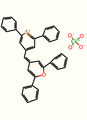 C(=C1C=C(c2ccccc2)OC(c2ccccc2)=C1)c1cc(-c2ccccc2)[s+]c(-c2ccccc2)c1.[O-][Cl+3]([O-])([O-])[O-]